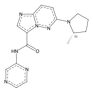 C[C@H]1CCCN1c1ccc2ncc(C(=O)Nc3cnccn3)n2n1